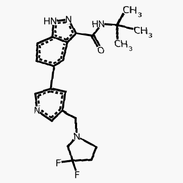 CC(C)(C)NC(=O)c1n[nH]c2ccc(-c3cncc(CN4CCC(F)(F)C4)c3)cc12